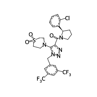 O=C(c1nnn(Cc2cc(C(F)(F)F)cc(C(F)(F)F)c2)c1N1CCS(=O)(=O)CC1)N1CCC[C@@H]1c1ccccc1Cl